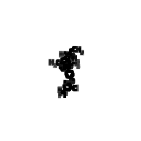 C=CC(=O)NC1CC(C)(C)N(S(=O)(=O)c2ccc(Oc3ncc(C(F)(F)F)cc3Cl)cc2)C1(C)C